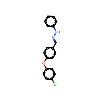 Clc1ccc(Oc2ccc(/C=N/Nc3ccccc3)cc2)cc1